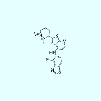 C[C@H]1NCCCC1c1cc2c(Nc3ccc4scnc4c3F)ccnc2s1